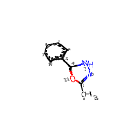 CC1=NNC(c2ccccc2)O1